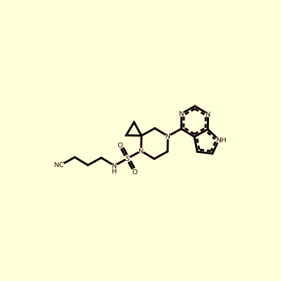 N#CCCCNS(=O)(=O)N1CCN(c2ncnc3[nH]ccc23)CC12CC2